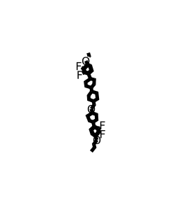 CCCOc1ccc(C2CCC(OCC3CCC(C4CCC(c5ccc(OCC)c(F)c5F)CC4)CC3)CC2)c(F)c1F